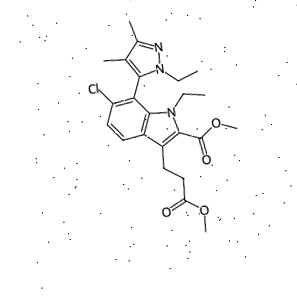 CCn1nc(C)c(C)c1-c1c(Cl)ccc2c(CCC(=O)OC)c(C(=O)OC)n(CC)c12